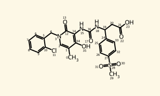 Cc1cn(Cc2ccccc2Cl)c(=O)c(NC(=O)NC(CC(=O)O)c2ccc(S(C)(=O)=O)cc2)c1O